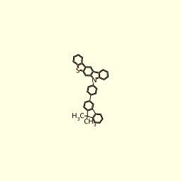 CC1(C)c2ccccc2-c2cc(-c3ccc(-n4c5ccccc5c5cc6c(cc54)sc4ccccc46)cc3)ccc21